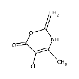 C=C1NC(C)=C(Cl)C(=O)O1